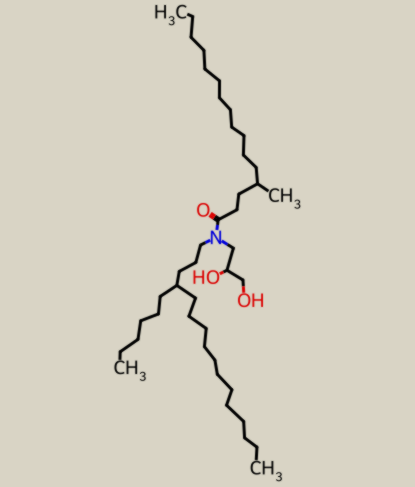 CCCCCCCCCCCCC(C)CCC(=O)N(CCCC(CCCCCC)CCCCCCCCCCCC)CC(O)CO